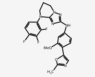 COc1cc(Nc2nc3n(n2)CCCN3c2ccc(F)c(F)c2F)ccc1-c1cnc(C)o1